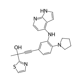 CC(O)(C#Cc1ccc(N2CCCC2)c(Nc2ccnc3[nH]ccc23)c1)c1nccs1